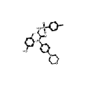 Cc1ccc(S(=O)(=O)N[C@@H](Cc2ccc(O)cc2)C(=O)Nc2ccc(N3CCOCC3)cc2)cc1